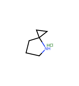 C1CNC2(C1)CC2.Cl